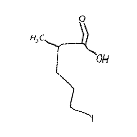 CC(CCCI)C(=O)O